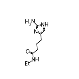 CCNC(=O)CCCc1c[nH]c(N)n1